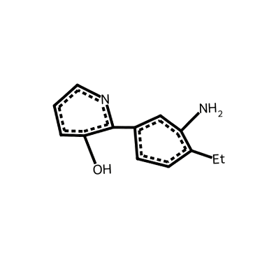 CCc1ccc(-c2ncccc2O)cc1N